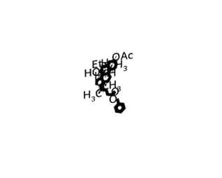 CC[C@H]1[C@@H](O)[C@@H]2[C@H](CC[C@]3(C)[C@@H]([C@H](C)CCC(=O)OCc4ccccc4)CC[C@@H]23)[C@@]2(C)CC[C@@H](OC(C)=O)C[C@@H]12